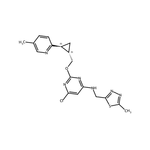 Cc1ccc([C@H]2C[C@@H]2COc2nc(Cl)cc(NCc3nnc(C)s3)n2)nc1